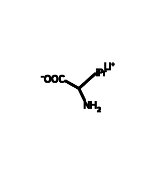 CC(C)C(N)C(=O)[O-].[Li+]